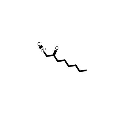 [C-]#[N+]CC(=O)CCCCCC